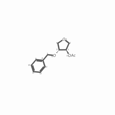 CC(=O)O[C@@H]1COC[C@H]1OCc1ccccc1